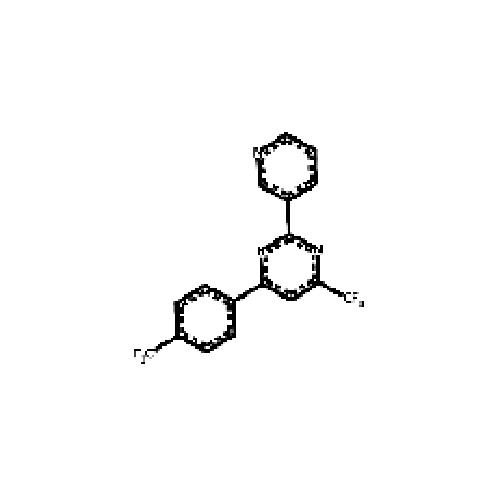 FC(F)(F)c1ccc(-c2cc(C(F)(F)F)nc(-c3cccnc3)n2)cc1